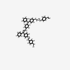 C=Cc1ccc(COCCc2ccc(N(c3ccccc3)c3ccc(C=NN(c4ccccc4)c4ccc(OCc5ccc(CC)cc5)cc4)cc3)cc2)cc1